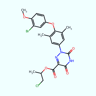 COc1ccc(Oc2c(C)cc(-n3nc(C(=O)OC(C)CCl)c(=O)[nH]c3=O)cc2C)cc1Br